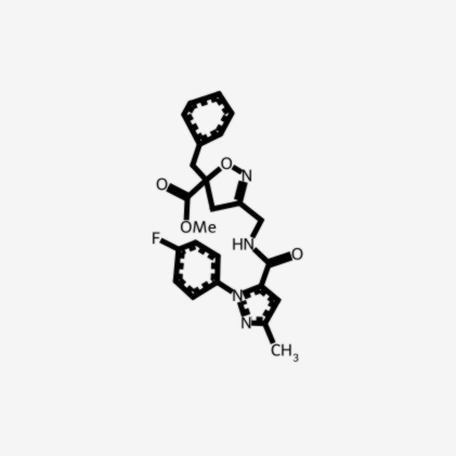 COC(=O)C1(Cc2ccccc2)CC(CNC(=O)c2cc(C)nn2-c2ccc(F)cc2)=NO1